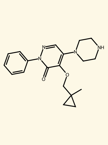 CC1(COc2c(N3CCNCC3)cnn(-c3ccccc3)c2=O)CC1